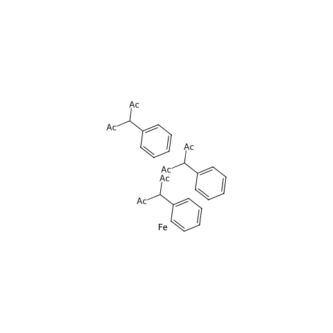 CC(=O)C(C(C)=O)c1ccccc1.CC(=O)C(C(C)=O)c1ccccc1.CC(=O)C(C(C)=O)c1ccccc1.[Fe]